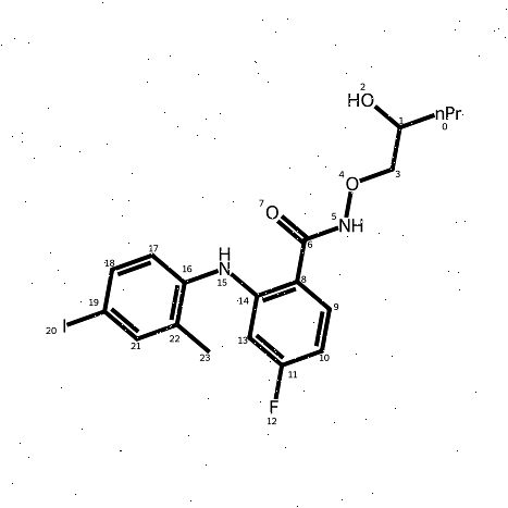 CCCC(O)CONC(=O)c1ccc(F)cc1Nc1ccc(I)cc1C